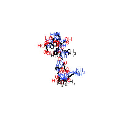 CC(C)C[C@H](NC(=O)[C@H](C)NC(=O)CNC(=O)[C@H](CCC(=O)O)NC(=O)[C@@H]1CCCN1C(=O)CNC(=O)[C@@H](NC(=O)[C@@H](NC(=O)[C@@H](N)CCCNC(=N)N)C(C)C)[C@@H](C)O)C(=O)N[C@@H](Cc1ccccc1)C(=O)N[C@@H](CCC(=O)O)C(=O)N[C@@H](Cc1c[nH]cn1)C(=O)N[C@@H](CO)C(=O)N[C@H](C(=O)N[C@@H](CCC(=O)O)C(=O)O)C(C)C